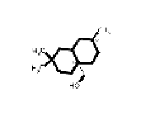 C[C@H]1CC[C@@]2(CO)CCC(C)(C)CC2C1